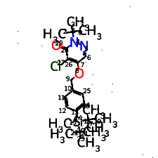 CC(C)(C)n1ncc(OCc2ccc([Si](C)(C(C)(C)C)C(C)(C)C)cc2)c(Cl)c1=O